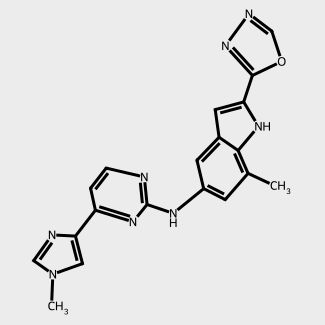 Cc1cc(Nc2nccc(-c3cn(C)cn3)n2)cc2cc(-c3nnco3)[nH]c12